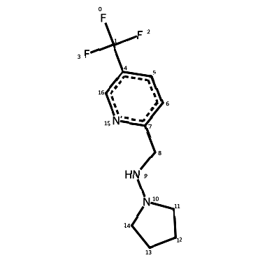 FC(F)(F)c1ccc(CNN2CCCC2)nc1